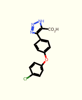 O=C(O)c1[nH]nnc1-c1ccc(Oc2ccc(Cl)cc2)cc1